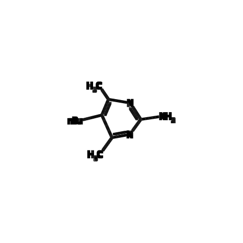 CCCCc1c(C)nc(N)nc1C